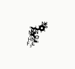 Cc1cc(-c2ccc3scnc3c2)nc2c(C(=O)NC(C)C(F)(F)F)cnn12